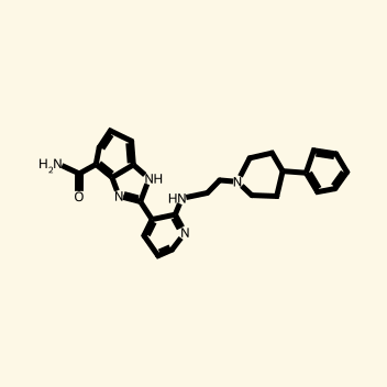 NC(=O)c1cccc2[nH]c(-c3cccnc3NCCN3CCC(c4ccccc4)CC3)nc12